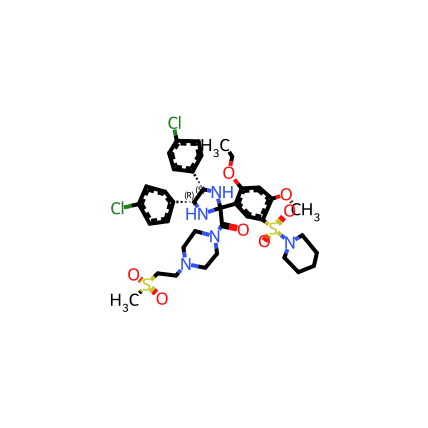 CCOc1cc(OC)c(S(=O)(=O)N2CCCCC2)cc1C1(C(=O)N2CCN(CCS(C)(=O)=O)CC2)N[C@H](c2ccc(Cl)cc2)[C@H](c2ccc(Cl)cc2)N1